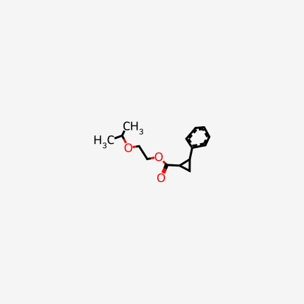 CC(C)OCCOC(=O)C1CC1c1ccccc1